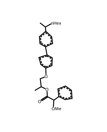 CCCCCCC(C)c1ccc(-c2ccc(OCC(C)OC(=O)C(OC)c3ccccc3)cc2)cc1